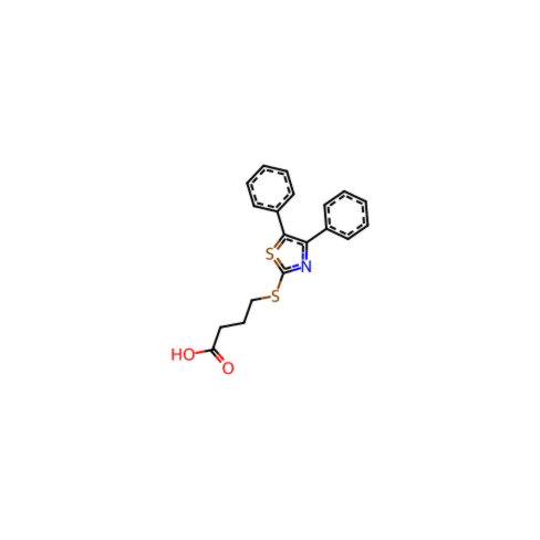 O=C(O)CCCSc1nc(-c2ccccc2)c(-c2ccccc2)s1